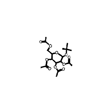 CC(=O)OCC1OC(OC(C)(C)C)C(OC(C)=O)C(OC(C)=O)C1OC(C)=O